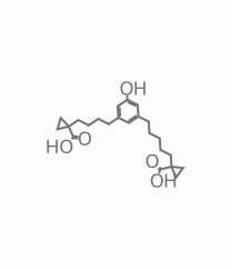 O=C(O)C1(CCCCCc2cc(O)cc(CCCCC3(C(=O)O)CC3)c2)CC1